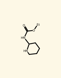 CCOC(=O)NC1CCCCN1